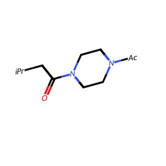 CC(=O)N1CCN(C(=O)CC(C)C)CC1